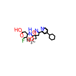 CCC1(C(=O)NC(CC(=O)O)C(=O)CF)CC(c2cc(C3CCCCC3)ccn2)=NO1